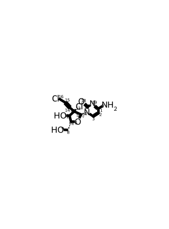 Nc1ccn([C@@H]2O[C@H](CO)C(O)[C@]2(Cl)C#CCl)c(=O)n1